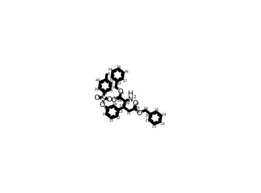 Cc1ccc(S(=O)(=O)Oc2cccc(C(CC(=O)OCc3ccccc3)C(N)C(=O)OCc3ccccc3)c2)cc1